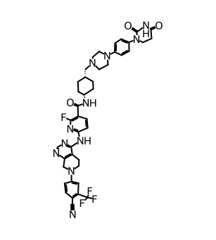 N#Cc1ccc(N2CCc3c(ncnc3Nc3ccc(C(=O)N[C@H]4CC[C@@H](CN5CCN(c6ccc(N7CCC(=O)NC7=O)cc6)CC5)CC4)c(F)n3)C2)cc1C(F)(F)F